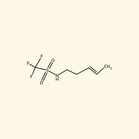 C/C=C/CCNS(=O)(=O)C(F)(F)F